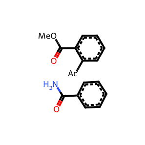 COC(=O)c1ccccc1C(C)=O.NC(=O)c1ccccc1